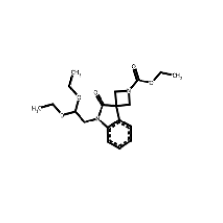 CCOC(=O)N1CC2(C1)C(=O)N(CC(OCC)OCC)c1ccccc12